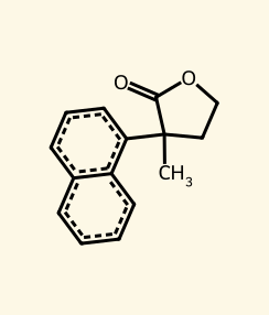 CC1(c2cccc3ccccc23)CCOC1=O